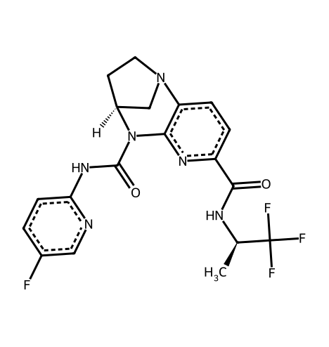 C[C@@H](NC(=O)c1ccc2c(n1)N(C(=O)Nc1ccc(F)cn1)[C@H]1CCN2C1)C(F)(F)F